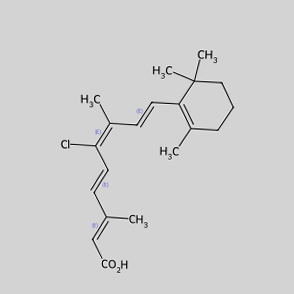 CC1=C(/C=C/C(C)=C(Cl)\C=C\C(C)=C\C(=O)O)C(C)(C)CCC1